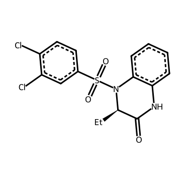 [CH2]C[C@@H]1C(=O)Nc2ccccc2N1S(=O)(=O)c1ccc(Cl)c(Cl)c1